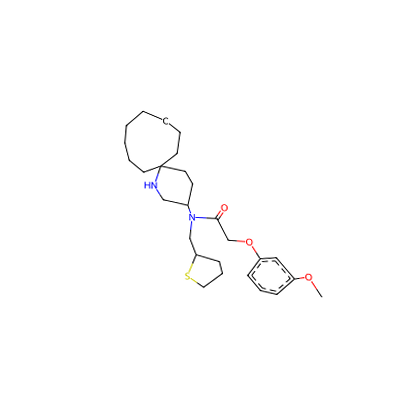 COc1cccc(OCC(=O)N(CC2CCCS2)C2CCC3(CCCCCCCC3)NC2)c1